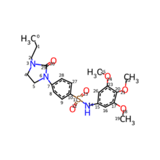 CCCN1CCN(c2ccc(S(=O)(=O)Nc3cc(OC)c(OC)c(OC)c3)cc2)C1=O